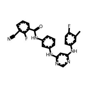 Cc1cc(Nc2cc(Nc3cccc(NC(=O)c4cccc(C#N)c4F)c3)ncn2)ccc1F